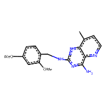 COc1ccc(CNc2nc(N)c3nccc(C)c3n2)c(OC)c1